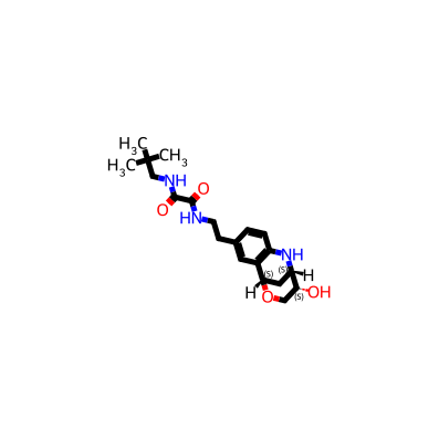 CC(C)(C)CNC(=O)C(=O)NCCc1ccc2c(c1)[C@@H]1C[C@H](N2)[C@H](O)CO1